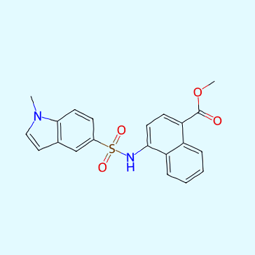 COC(=O)c1ccc(NS(=O)(=O)c2ccc3c(ccn3C)c2)c2ccccc12